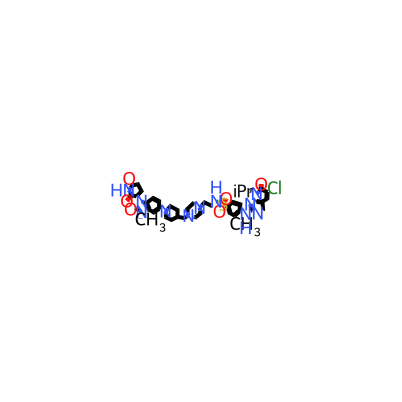 Cc1cc(S(=O)(=O)NCCN2CCN(CC3CCN(c4ccc5c(c4)n(C)c(=O)n5C4CCC(=O)NC4=O)CC3)CC2)ccc1Nc1ncc2cc(Cl)c(=O)n(C(C)C)c2n1